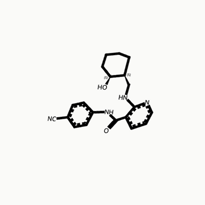 N#Cc1ccc(NC(=O)c2cccnc2NC[C@@H]2CCCC[C@@H]2O)cc1